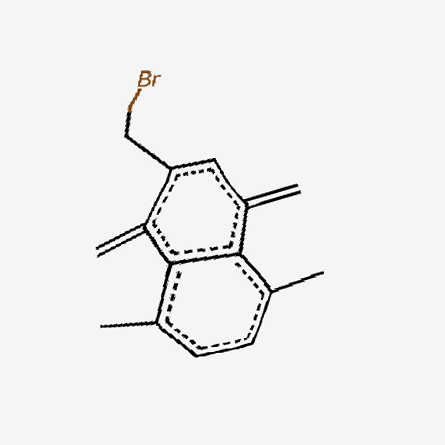 C=c1cc(CBr)c(=C)c2c(C)ccc(C)c12